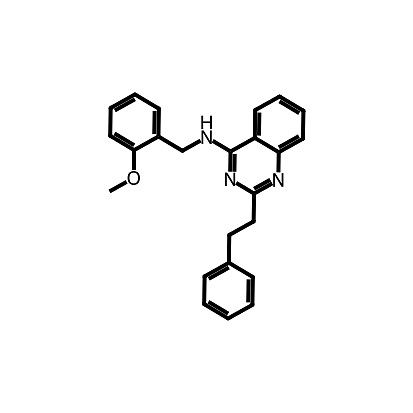 COc1ccccc1CNc1nc(CCc2ccccc2)nc2ccccc12